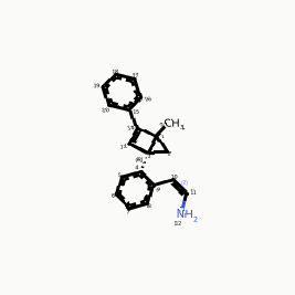 CC12C[C@@]1(c1ccccc1/C=C\N)C=C2c1ccccc1